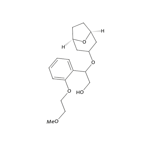 COCCOc1ccccc1C(CO)OC1C[C@H]2CC[C@@H](C1)O2